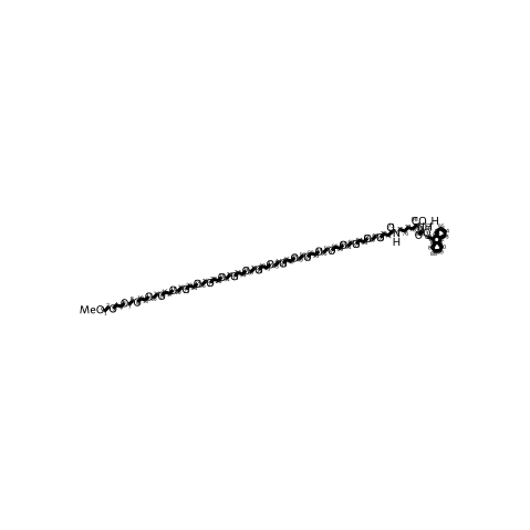 COCCOCCOCCOCCOCCOCCOCCOCCOCCOCCOCCOCCOCCOCCOCCOCCOCCOCCOCCOCCOCCOCCOCCOCCC(=O)NCCCC[C@H](NC(=O)OCC1c2ccccc2-c2ccccc21)C(=O)O